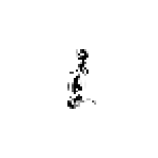 CC(c1ncccn1)N1C[C@@H]2C(CCNC(=O)/C=C/c3cccnc3)[C@@H]2C1